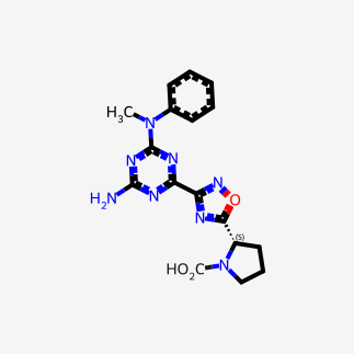 CN(c1ccccc1)c1nc(N)nc(-c2noc([C@@H]3CCCN3C(=O)O)n2)n1